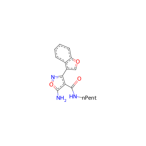 CCCCCNC(=O)c1c(-c2coc3ccccc23)noc1N